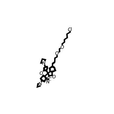 [N-]=[N+]=C1C(=O)c2ccc(/C=C/CCOCCOCCCCCCCl)cc2C12c1ccc(N3CCC3)cc1Oc1cc(N3CCC3)ccc12